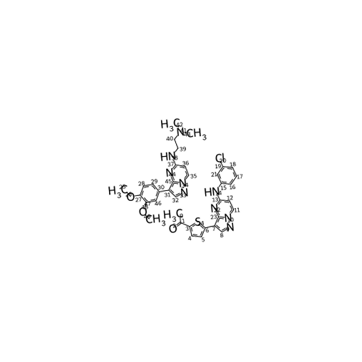 CC(=O)c1ccc(-c2cnn3ccc(Nc4cccc(Cl)c4)nc23)s1.COc1ccc(-c2cnn3ccc(NCCN(C)C)nc23)cc1OC